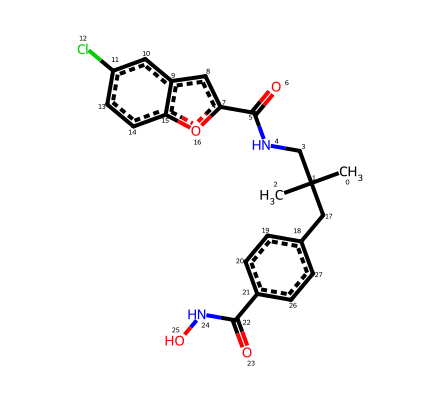 CC(C)(CNC(=O)c1cc2cc(Cl)ccc2o1)Cc1ccc(C(=O)NO)cc1